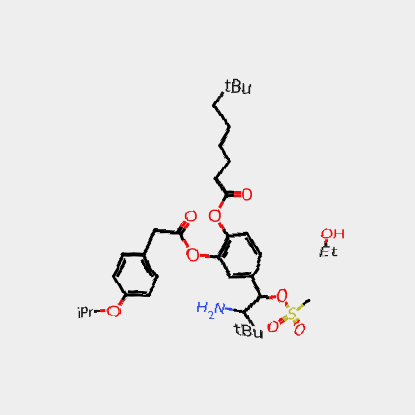 CC(C)Oc1ccc(CC(=O)Oc2cc(C(OS(C)(=O)=O)C(N)C(C)(C)C)ccc2OC(=O)CCCCCC(C)(C)C)cc1.CCO